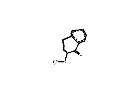 O=C1c2ccccc2CCC1SC(F)(F)F